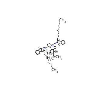 CCCCCCCCCCN1/C(=C/C=C2\CCC(/C=C/c3sc4ccccc4[n+]3CCCCCCCCCC)=C2C2=C(O)NC(N(C)C)NC2=O)Sc2ccccc21